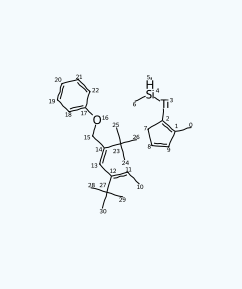 CC1=[C]([Ti][SiH](C)C)CC=C1.CC=C(C=C(COc1ccccc1)C(C)(C)C)C(C)(C)C